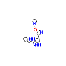 c1ccc2[nH]c(-c3n[nH]c4ccc(-c5cncc(OCCN6CCCC6)c5)cc34)cc2c1